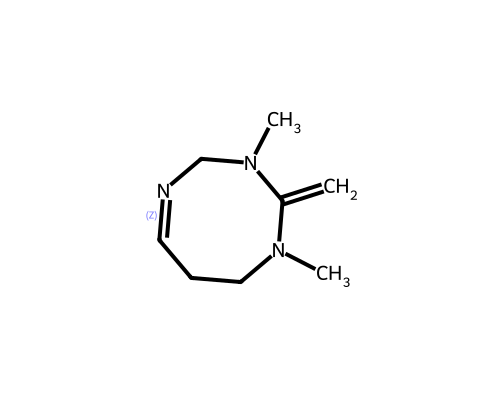 C=C1N(C)CC/C=N\CN1C